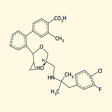 Cc1cc(-c2ccccc2C(OC[C@H](O)CNC(C)(C)Cc2ccc(Cl)c(F)c2)C2CC2)ccc1C(=O)O